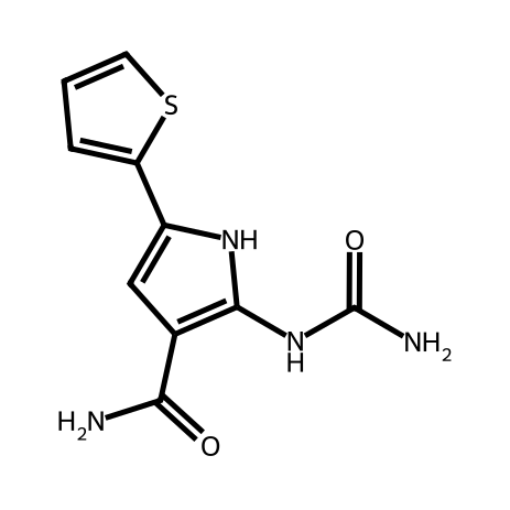 NC(=O)Nc1[nH]c(-c2cccs2)cc1C(N)=O